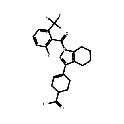 O=C(O)C1CC=C(c2nn(C(=O)c3c(Cl)cccc3C(F)(F)F)c3c2CCCC3)CC1